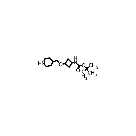 CC(C)(C)OC(=O)NC1CC(OCC2CCNCC2)C1